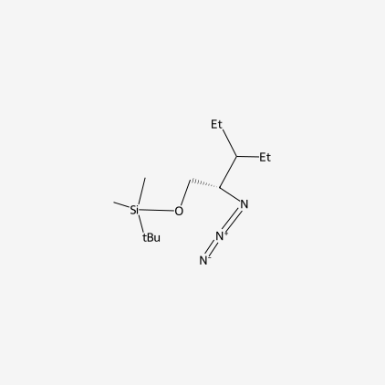 CCC(CC)[C@@H](CO[Si](C)(C)C(C)(C)C)N=[N+]=[N-]